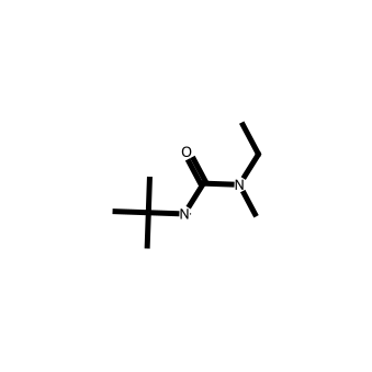 CCN(C)C(=O)[N]C(C)(C)C